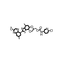 COc1cnc2c(-c3nc4c(C)cc5c(c4s3)OC[C@H](COC(=O)Nc3ccc(Cl)nc3)O5)cc(C)cc2n1